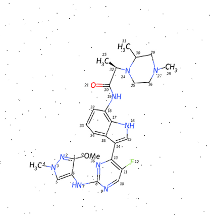 COc1nn(C)cc1Nc1ncc(F)c(-c2c[nH]c3c(NC(=O)[C@@H](C)N4CCN(C)CC4C)cccc23)n1